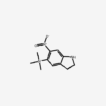 C[N+](C)(C)c1cc2c(cc1[N+](=O)[O-])NCC2